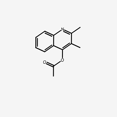 CC(=O)Oc1c(C)c(C)nc2ccccc12